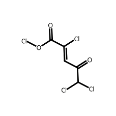 O=C(OCl)C(Cl)=CC(=O)C(Cl)Cl